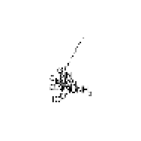 CCCCCCCCCCCCCCCC(=O)NCC(=O)N(CC(=O)N(CC(=O)N(CC(=O)N(CC(N)=O)Cc1ccccc1)Cc1ccc(O)cc1)Cc1ccccc1)C1CCCC1